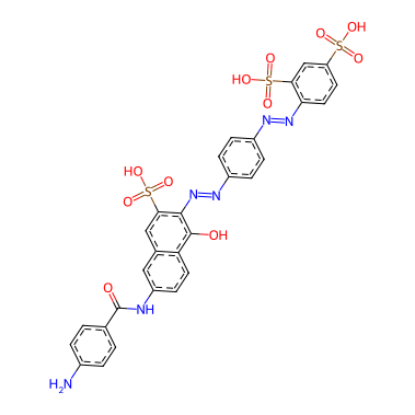 Nc1ccc(C(=O)Nc2ccc3c(O)c(N=Nc4ccc(N=Nc5ccc(S(=O)(=O)O)cc5S(=O)(=O)O)cc4)c(S(=O)(=O)O)cc3c2)cc1